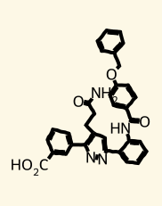 NC(=O)CCc1cc(-c2ccccc2NC(=O)c2ccc(OCc3ccccc3)cc2)nnc1-c1cccc(C(=O)O)c1